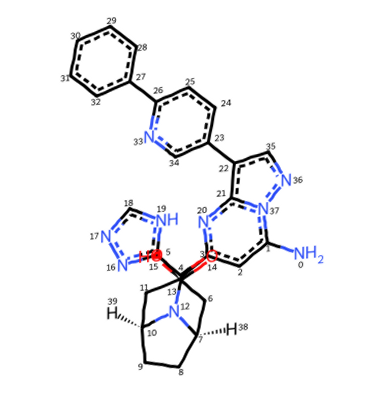 Nc1cc([C@]2(O)C[C@H]3CC[C@@H](C2)N3C(=O)c2nnc[nH]2)nc2c(-c3ccc(-c4ccccc4)nc3)cnn12